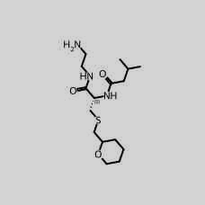 CC(C)CC(=O)N[C@H](CSCC1CCCCO1)C(=O)NCCN